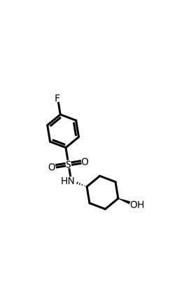 O=S(=O)(N[C@H]1CC[C@H](O)CC1)c1ccc(F)cc1